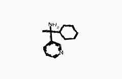 CC(N)(c1cccnc1)C1CCCCC1